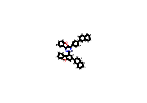 c1ccc2cc(-c3ccc(-c4nc(-c5cc(-c6ccc7ccccc7c6)cc6oc7ccccc7c56)nc5c4oc4ccccc45)cc3)ccc2c1